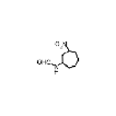 O=CNC1CCCCC([N+](=O)[O-])C1